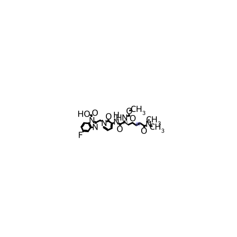 COC(=O)N[C@@H](CC/C=C/C(=O)N(C)C)C(=O)Nc1cccn(Cc2nc3cc(F)ccc3n2C(=O)O)c1=O